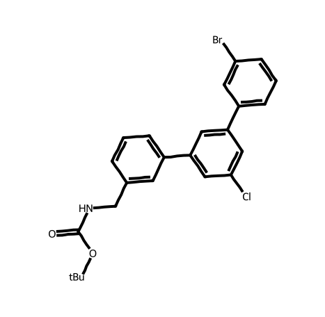 CC(C)(C)OC(=O)NCc1cccc(-c2cc(Cl)cc(-c3cccc(Br)c3)c2)c1